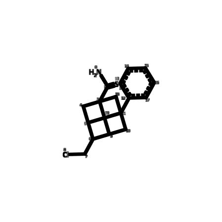 NC(=S)C12CC3C(CCl)C4CC(c5ccccc5)(C1)C342